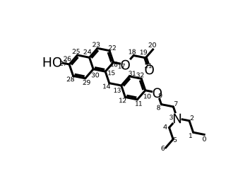 CCCN(CCC)CCOc1ccc(Cc2c(OCC(C)=O)ccc3cc(O)ccc23)cc1